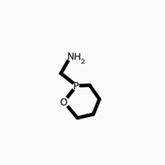 NCP1CCCCO1